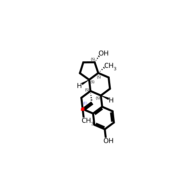 C/C=C/[C@@]12CCc3cc(O)ccc3[C@H]1CC[C@@]1(C)[C@H]2CC[C@@H]1O